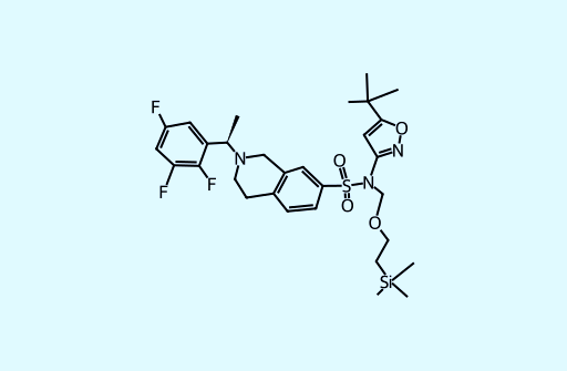 C[C@H](c1cc(F)cc(F)c1F)N1CCc2ccc(S(=O)(=O)N(COCC[Si](C)(C)C)c3cc(C(C)(C)C)on3)cc2C1